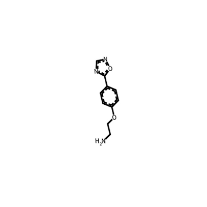 NCCOc1ccc(-c2ncno2)cc1